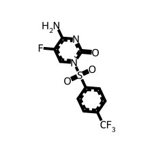 Nc1nc(=O)n(S(=O)(=O)c2ccc(C(F)(F)F)cc2)cc1F